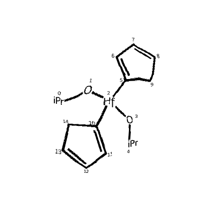 CC(C)[O][Hf]([O]C(C)C)([C]1=CC=CC1)[C]1=CC=CC1